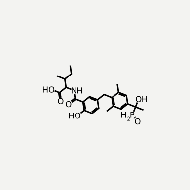 CCC(C)C(NC(=O)c1cc(Cc2c(C)cc(C(C)(O)[PH2]=O)cc2C)ccc1O)C(=O)O